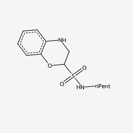 CCCCCNS(=O)(=O)C1CNc2ccccc2O1